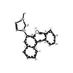 CN1C=CN(c2cc3ccccc3c3c2oc2ccccc23)C1